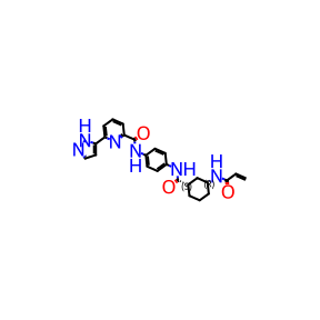 C=CC(=O)N[C@@H]1CCC[C@H](C(=O)Nc2ccc(NC(=O)c3cccc(-c4ccn[nH]4)n3)cc2)C1